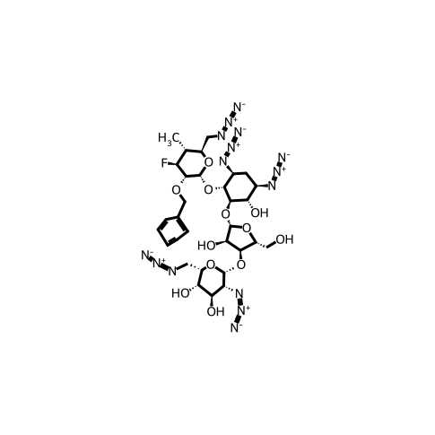 C[C@H]1[C@H](F)[C@@H](OCc2ccccc2)[C@@H](O[C@H]2[C@H](O[C@@H]3O[C@H](CO)[C@@H](O[C@H]4O[C@@H](CN=[N+]=[N-])[C@@H](O)[C@H](O)[C@H]4N=[N+]=[N-])[C@H]3O)[C@@H](O)[C@H](N=[N+]=[N-])C[C@@H]2N=[N+]=[N-])O[C@@H]1CN=[N+]=[N-]